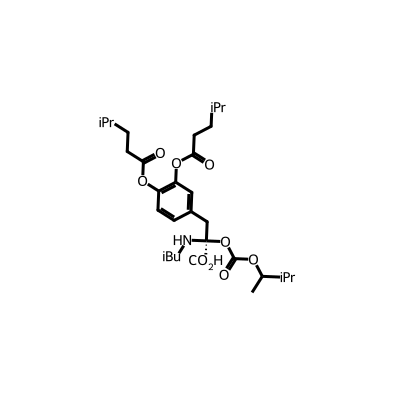 CCC(C)N[C@@](Cc1ccc(OC(=O)CCC(C)C)c(OC(=O)CCC(C)C)c1)(OC(=O)OC(C)C(C)C)C(=O)O